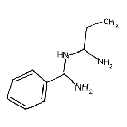 CCC(N)NC(N)c1ccccc1